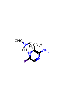 CN(C)C=O.Nc1ncc(I)nc1C(=O)O